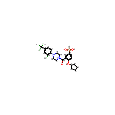 CS(=O)(=O)c1ccc(OC2CCCC2)c(C(=O)N2CCN(c3ccc(C(F)(F)F)cc3F)CC2)c1